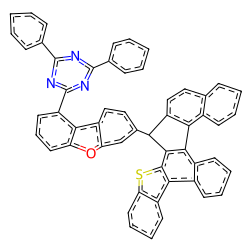 c1ccc(-c2nc(-c3ccccc3)nc(-c3cccc4oc5cc(C6c7ccc8ccccc8c7-c7c6c6sc8ccccc8c6c6ccccc76)ccc5c34)n2)cc1